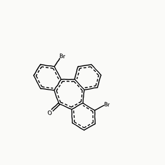 O=c1c2cccc(Br)c2c2ccccc2c2c(Br)cccc12